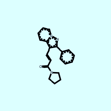 O=C(C=Cc1c(-c2ccccc2)nn2ccccc12)N1CCCC1